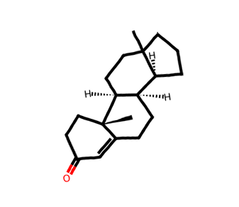 CC12[CH]CC[C@H]1[C@H]1CCC3=CC(=O)CC[C@]3(C)[C@H]1CC2